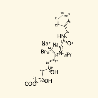 CC(C)n1c(C(=O)NCc2ccccc2)nc(Br)c1C=C[C@@H](O)C[C@@H](O)CC(=O)[O-].[Na+]